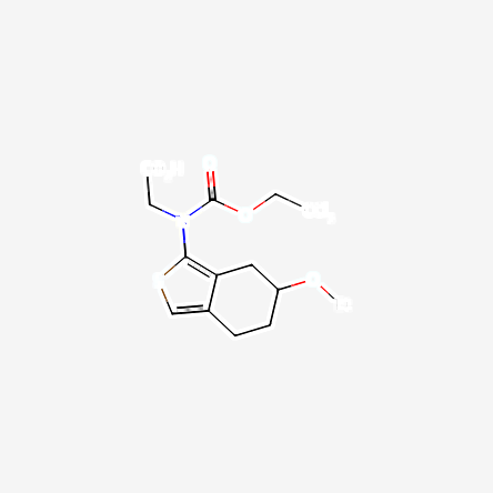 CCOC1CCc2csc(N(CC(=O)O)C(=O)OCC(Cl)(Cl)Cl)c2C1